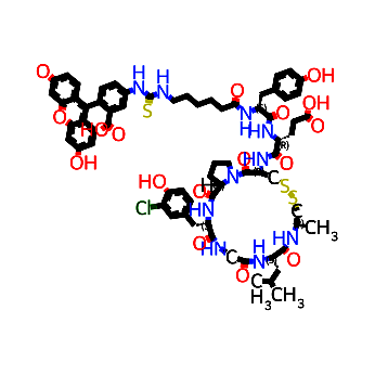 CC(C)C[C@@H]1NC(=O)CNC(=O)[C@H](Cc2ccc(O)c(Cl)c2)NC(=O)[C@@H]2CCCN2C(=O)[C@@H](NC(=O)[C@@H](CCC(=O)O)NC(=O)[C@H](Cc2ccc(O)cc2)NC(=O)CCCCCNC(=S)Nc2ccc(-c3c4ccc(=O)cc-4oc4cc(O)ccc34)c(C(=O)O)c2)CSSC[C@@H](C)NC1=O